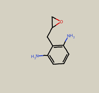 Nc1cccc(N)c1CC1CO1